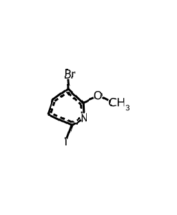 COc1nc(I)ccc1Br